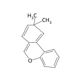 CC1(C)C=CC2=COc3ccccc3C2=C1